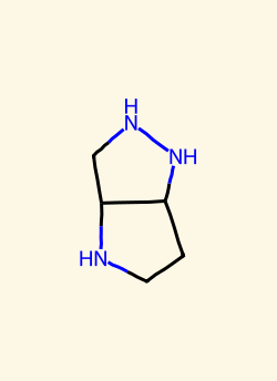 C1CC2NNCC2N1